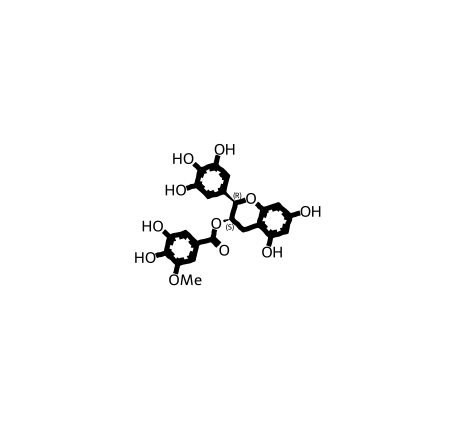 COc1cc(C(=O)O[C@H]2Cc3c(O)cc(O)cc3O[C@@H]2c2cc(O)c(O)c(O)c2)cc(O)c1O